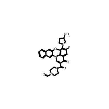 NC1CCN(c2c(F)cc3c(=O)c(C(=O)N4CCN(C=O)CC4)cn4c3c2Oc2cc3ccccc3cc2-4)C1